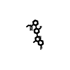 CCNc1ccccc1-c1ccc(-c2cc(C)c3cc(F)ccc3n2)cc1F